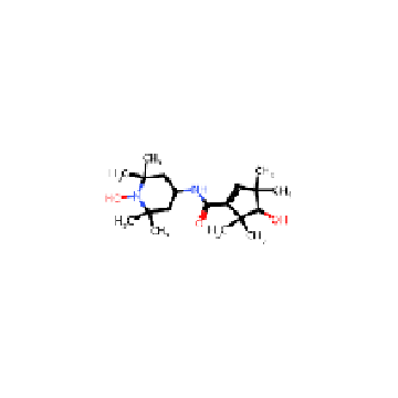 CC1(C)C=C(C(=O)NC2CC(C)(C)N(O)C(C)(C)C2)C(C)(C)C1O